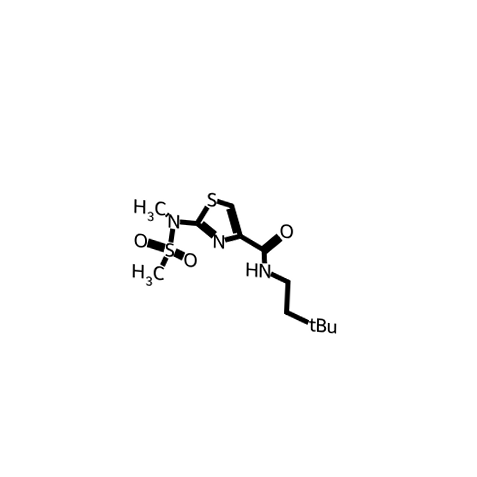 CN(c1nc(C(=O)NCCC(C)(C)C)cs1)S(C)(=O)=O